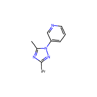 Cc1nc(C(C)C)nn1-c1cccnc1